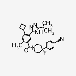 Cc1cc(C2CCC2)c(-c2nnc(C(C)C)[nH]2)cc1C(=O)N1CCC(F)(c2ccc(C#N)cc2)CC1